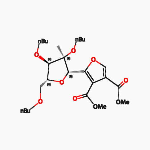 CCCCOC[C@H]1O[C@@H](c2occ(C(=O)OC)c2C(=O)OC)[C@](C)(OCCCC)[C@@H]1OCCCC